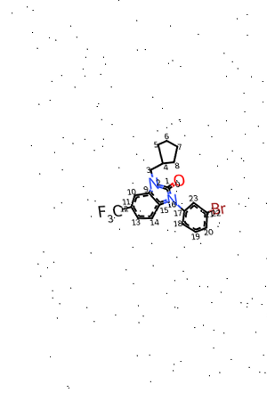 O=c1n(CC2CCCC2)c2cc(C(F)(F)F)ccc2n1-c1cccc(Br)c1